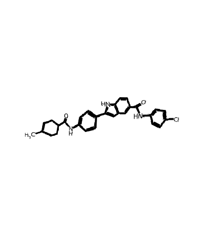 CC1CCC(C(=O)Nc2ccc(-c3cc4cc(C(=O)Nc5ccc(Cl)cc5)ccc4[nH]3)cc2)CC1